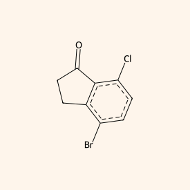 O=C1CCc2c(Br)ccc(Cl)c21